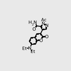 CCN(CC)c1ccc2cc(-c3cnn(C(C)=O)c3C(N)=O)c(=O)oc2c1